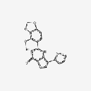 CC(C)Oc1c(-c2cc(=O)n3ncc(-c4ccccn4)c3[nH]2)ccc2c1OCO2